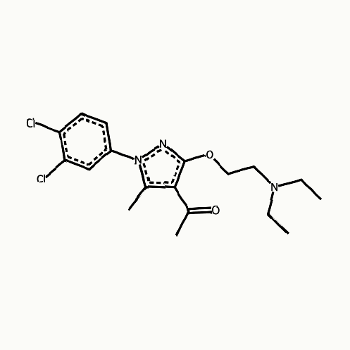 CCN(CC)CCOc1nn(-c2ccc(Cl)c(Cl)c2)c(C)c1C(C)=O